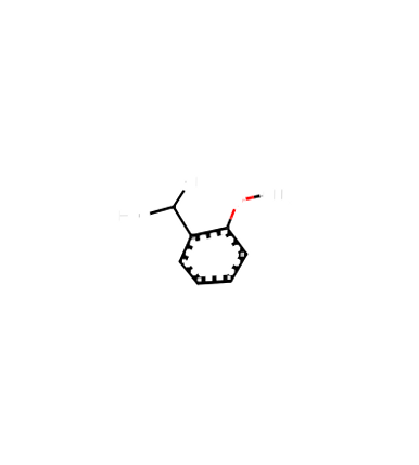 COc1ccc[c]c1C(C)C